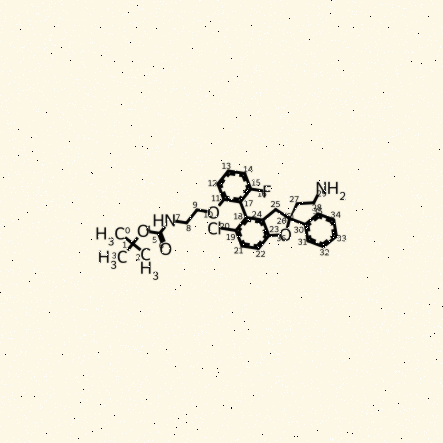 CC(C)(C)OC(=O)NCCOc1cccc(F)c1-c1c(Cl)ccc2c1C[C@](CCN)(c1ccccc1)O2